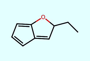 CC[C]1C=C2C=CC=C2O1